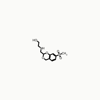 CS(=O)(=O)c1ccc2c(c1)OC(CNCCO)OC2